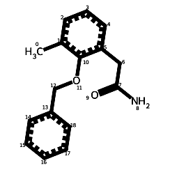 Cc1cccc(CC(N)=O)c1OCc1ccccc1